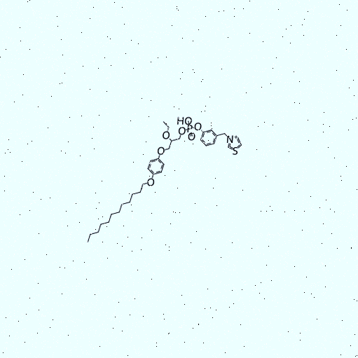 CCCCCCCCCCCCOc1ccc(OCC(COP(=O)(O)Oc2cccc(C[n+]3ccsc3)c2)OCC)cc1